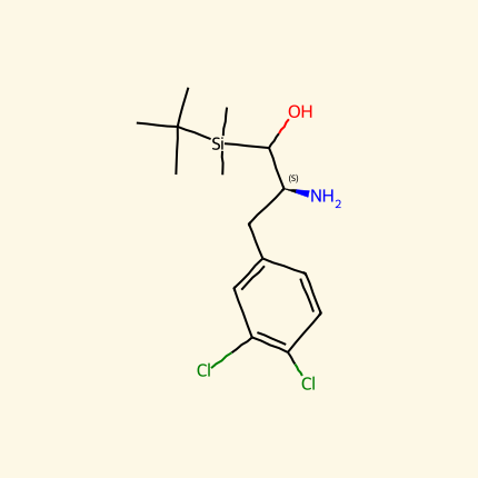 CC(C)(C)[Si](C)(C)C(O)[C@@H](N)Cc1ccc(Cl)c(Cl)c1